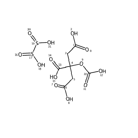 O=C(O)CC(CC(=O)O)(OC(=O)O)C(=O)O.O=S(O)S(=O)O